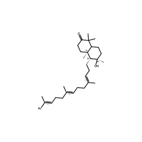 CC(=O)/C(C)=C/CC/C(C)=C/CC/C(C)=C/CC[C@@H]1[C@@]2(C)CCC(=O)C(C)(C)C2CC[C@@]1(C)O